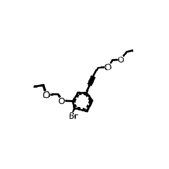 CCOCOCC#Cc1ccc(Br)c(OCOCC)c1